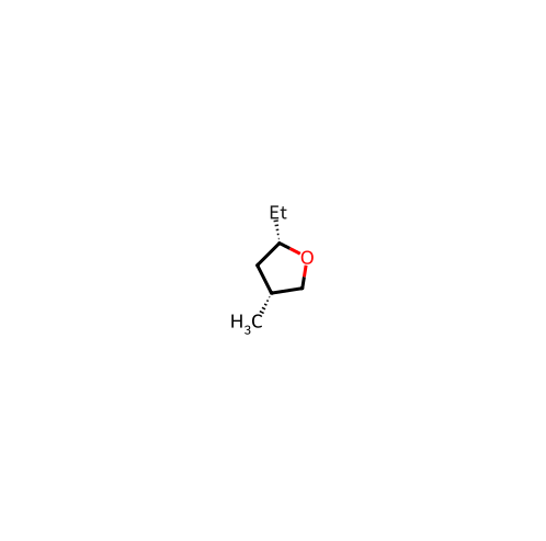 CC[C@H]1C[C@@H](C)CO1